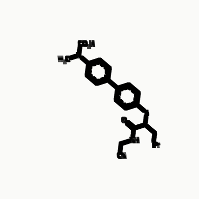 CC(C)CC(Sc1ccc(-c2ccc(N(C)C(=O)O)cc2)cc1)C(=O)NCC#N